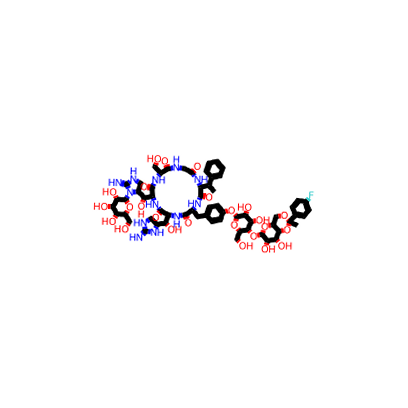 CC(c1ccccc1)C1NC(=O)CNC(=O)C(CO)NC(=O)C(C(O)C2CNC(=N)N2C2OC(CO)C(O)C(O)C2O)NC(=O)C(C(O)C2CNC(=N)N2)NC(=O)C(Cc2ccc(OC3OC(CO)C(OC4OC5COC(C)(c6ccc(F)cc6)OC5C(O)C4O)C(O)C3O)cc2)NC1=O